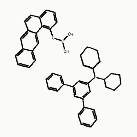 OB(O)Oc1cccc2ccc3cc4ccccc4cc3c12.c1ccc(-c2cc(-c3ccccc3)cc(P(C3CCCCC3)C3CCCCC3)c2)cc1